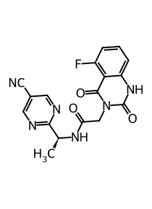 C[C@H](NC(=O)Cn1c(=O)[nH]c2cccc(F)c2c1=O)c1ncc(C#N)cn1